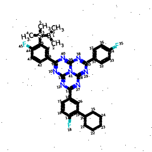 CB(C)[Si](C)(C)c1cc(C2=NC3=NC(c4ccc(F)c(C5CCCCC5)c4)=NC4=NC(c5ccc(F)cc5)=NC(=N2)N43)ccc1F